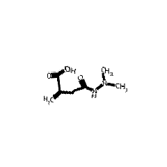 C=C(CC(=O)NN(C)C)C(=O)O